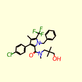 Cc1c(-c2ccc(Cl)cc2)c(C(=O)N(C)CC(C)(C)CO)n(Cc2ccccc2)c1C(F)(F)F